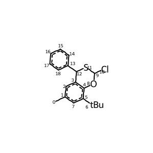 Cc1cc2c(c(C(C)(C)C)c1)OC(Cl)SC2c1ccccc1